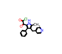 Cc1[nH]c(C(=O)C(=O)Cl)c(-c2ccccc2)c1Cc1ccncc1